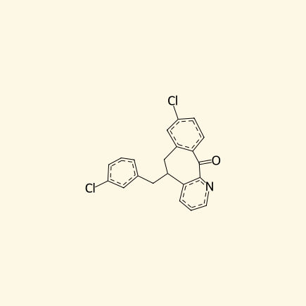 O=C1c2ccc(Cl)cc2CC(Cc2cccc(Cl)c2)c2cccnc21